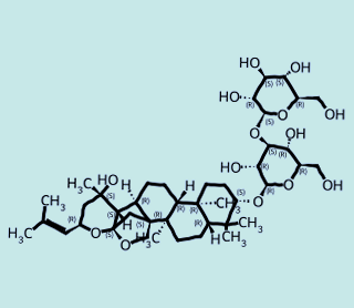 CC(C)=C[C@H]1C[C@](C)(O)[C@@H]2[C@H]3CC[C@@H]4[C@@]5(C)CC[C@H](O[C@@H]6O[C@H](CO)[C@@H](O)[C@H](O[C@@H]7O[C@H](CO)[C@@H](O)[C@H](O)[C@H]7O)[C@H]6O)C(C)(C)[C@@H]5CC[C@@]4(C)[C@@]34CO[C@@]2(C4)O1